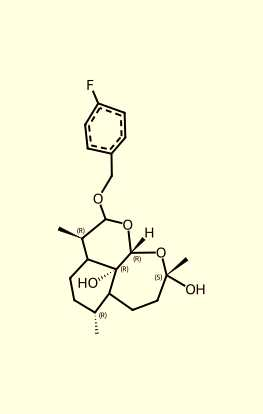 C[C@H]1C(OCc2ccc(F)cc2)O[C@@H]2O[C@](C)(O)CCC3[C@H](C)CCC1[C@]32O